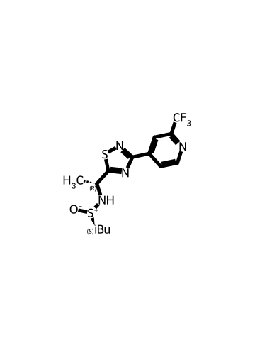 CC[C@H](C)[S+]([O-])N[C@H](C)c1nc(-c2ccnc(C(F)(F)F)c2)ns1